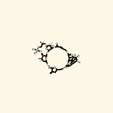 C=C1CC2CC[C@@]34C[C@H]5O[C@@H]6[C@@H](O[C@@H](CC/C=C/C(=O)C[C@H]7C(C[C@H]8OC(CC[C@@H]1O2)C[C@@H](C)C8=C)O[C@H](C[C@H](C)CO[Si](CC)(CC)CC)[C@@H]7C)C(C)[C@@H]6O3)[C@H]5O4